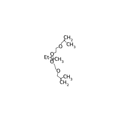 [CH2]C[Si](C)(OCCOCC(=C)C)OCCOCC(=C)C